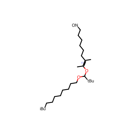 CCC(C)CCCCCCCCOC(O/C(C)=C(\C)CCCCCCN=O)C(C)(C)C